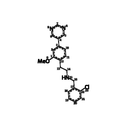 COc1cc(-c2cncnc2)ccc1CCNCc1ccccc1Cl